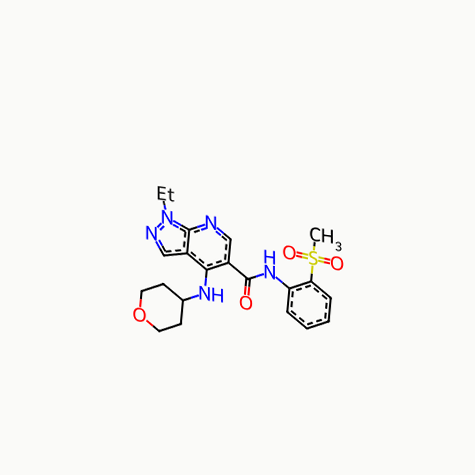 CCn1ncc2c(NC3CCOCC3)c(C(=O)Nc3ccccc3S(C)(=O)=O)cnc21